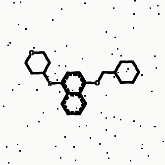 c1ccc2c(SC3CCOCC3)ccc(OCC3CCCCC3)c2c1